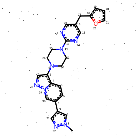 Cn1cc(-c2ccc3c(N4CCN(c5ncc(Cc6ccco6)cn5)CC4)cnn3c2)cn1